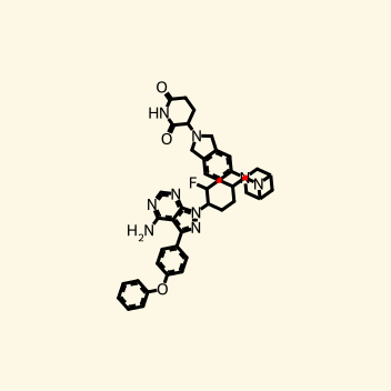 Nc1ncnc2c1c(-c1ccc(Oc3ccccc3)cc1)nn2C1CCC(CN2C3CC2CN(c2ccc4c(c2)CN(C2CCC(=O)NC2=O)C4)C3)CC1F